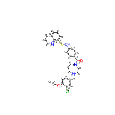 COc1ccc(CN2CCCN(C(=O)c3ccc(NSc4cccc5cccnc45)cc3)CC2)cc1Cl